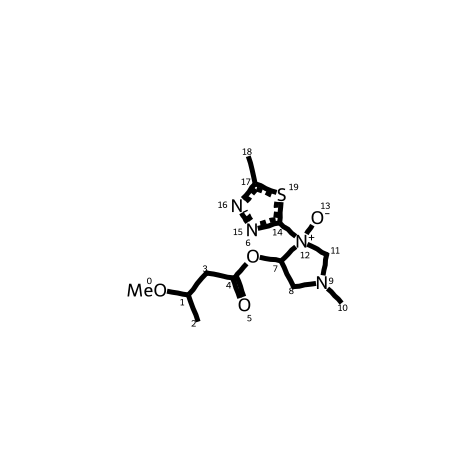 COC(C)CC(=O)OC1CN(C)C[N+]1([O-])c1nnc(C)s1